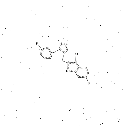 CCn1c(Cc2conc2-c2cccc(F)c2)nc2cc(Br)ccc21